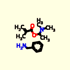 C=C(C)C(=O)OC(C)N(C)C.NCc1ccccc1